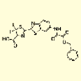 O=C(Nc1ccc2nc(C3=NC(C(=O)O)C(I)(I)S3)sc2c1)C(=O)OCc1ccccc1